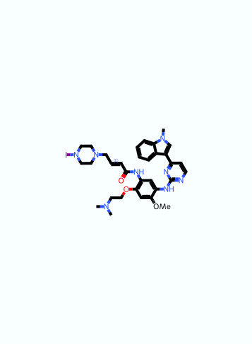 COc1cc(OCCN(C)C)c(NC(=O)/C=C/CN2CCN(I)CC2)cc1Nc1nccc(-c2cn(C)c3ccccc23)n1